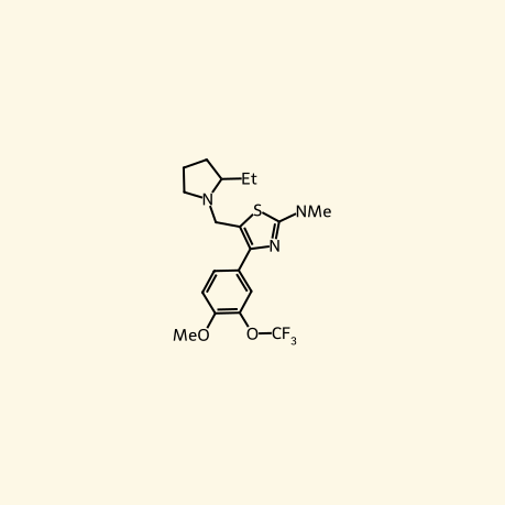 CCC1CCCN1Cc1sc(NC)nc1-c1ccc(OC)c(OC(F)(F)F)c1